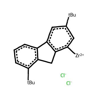 CC(C)(C)c1c[c]([Zr+2])c2c(c1)-c1cccc(C(C)(C)C)c1C2.[Cl-].[Cl-]